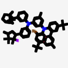 Cc1cc(C)cc(-c2cc(C(C)(C)C)ccc2N(c2cc(C)cc(N(c3cccc(C4CC(C)C(C)(C)C4(C)I)c3)c3cccc(C4CC5CCC4(C)C5(C)C)c3)c2)c2ccc(C(C)(C)C)cc2Br)c1